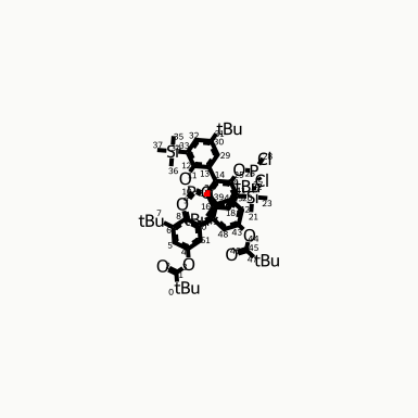 CC(C)(C)C(=O)Oc1cc(C(C)(C)C)c2op(Oc3c(-c4cc(C(C)(C)C)cc([Si](C)(C)C)c4OP(Cl)Cl)cc(C(C)(C)C)cc3[Si](C)(C)C)oc3c(C(C)(C)C)cc(OC(=O)C(C)(C)C)cc3c2c1